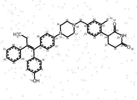 CCC(=C(c1ccc(O)cc1)c1ccc(N2CCN(Cc3ccc(C4CCC(=O)NC4=O)c(F)c3)CC2)cc1)c1ccccc1